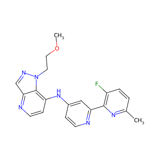 COCCn1ncc2nccc(Nc3ccnc(-c4nc(C)ccc4F)c3)c21